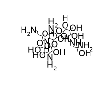 NCC[C@H](O)C(=O)N[C@@H]1C[C@H](N)C(O[C@H]2O[C@H](CNCC(N)CO)[C@@H](O)[C@H](O)[C@H]2O)[C@H](O)[C@H]1O[C@H]1O[C@H](CO)[C@@H](O)[C@H](N)[C@H]1O